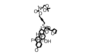 C[C@@H]1C[C@H]2[C@@H]3C[C@H](F)C4=CC(=O)C=C[C@]4(C)[C@@]3(F)[C@@H](O)C[C@]2(C)[C@@]1(OC(=O)c1ccco1)C(=O)SCC#CCOC(=O)N(C)C1COC(C)(C)O1